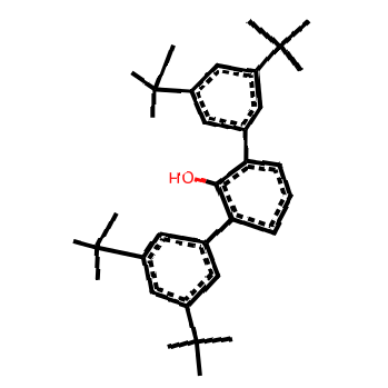 CC(C)(C)c1cc(-c2cccc(-c3cc(C(C)(C)C)cc(C(C)(C)C)c3)c2O)cc(C(C)(C)C)c1